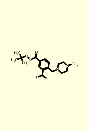 CN1CCN(Cc2ccc(C(=O)OOC(C)(C)C)cc2C(F)F)CC1